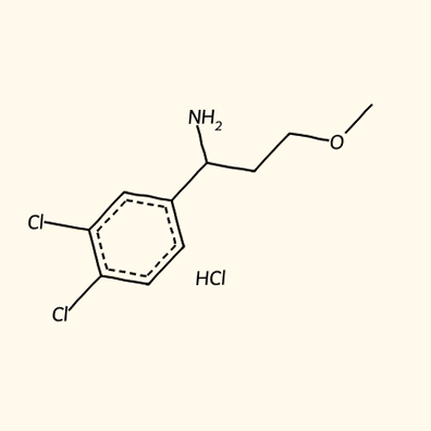 COCCC(N)c1ccc(Cl)c(Cl)c1.Cl